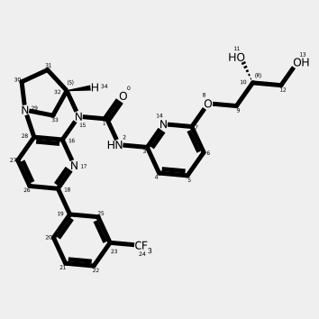 O=C(Nc1cccc(OC[C@H](O)CO)n1)N1c2nc(-c3cccc(C(F)(F)F)c3)ccc2N2CC[C@H]1C2